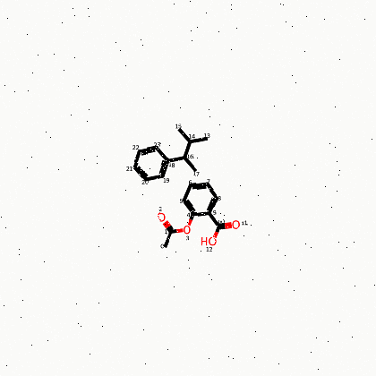 CC(=O)Oc1ccccc1C(=O)O.CC(C)C(C)c1ccccc1